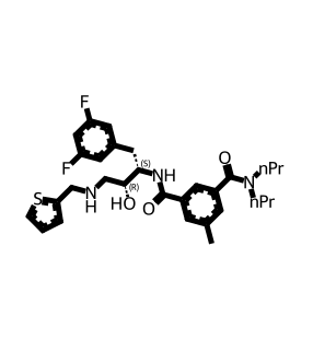 CCCN(CCC)C(=O)c1cc(C)cc(C(=O)N[C@@H](Cc2cc(F)cc(F)c2)[C@H](O)CNCc2cccs2)c1